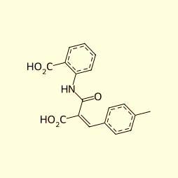 Cc1ccc(C=C(C(=O)O)C(=O)Nc2ccccc2C(=O)O)cc1